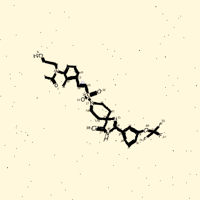 CC(=O)N(CCO)c1cccc(/C=C/S(=O)(=O)N2CCC3(CC2)N=C(c2cccc(OC(F)(F)F)c2)NC3=O)c1C